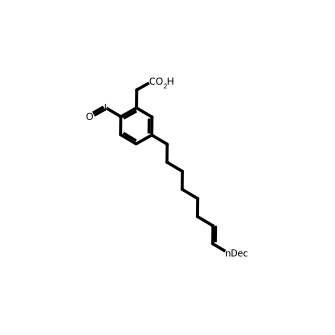 CCCCCCCCCC/C=C/CCCCCCc1ccc(I=O)c(CC(=O)O)c1